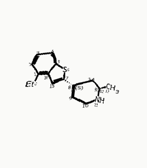 CCc1cccc2sc([C@H]3CCN[C@H](C)C3)cc12